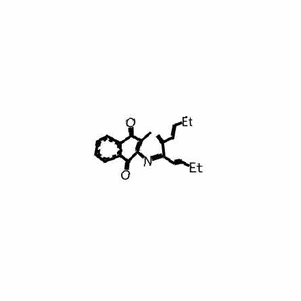 C=C(/C=C/CC)C(/C=C/CC)=N\C1=C(C)C(=O)c2ccccc2C1=O